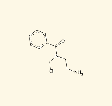 NCCN(CCl)C(=O)c1ccccc1